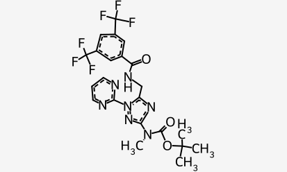 CN(C(=O)OC(C)(C)C)c1nc(CNC(=O)c2cc(C(F)(F)F)cc(C(F)(F)F)c2)n(-c2ncccn2)n1